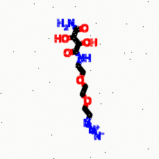 [N-]=[N+]=NCCOCCOCCNC(=O)C(O)C(O)C(N)=O